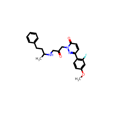 COc1ccc(-c2ccc(=O)n(CC(=O)CNC(C)CCc3ccccc3)n2)c(F)c1